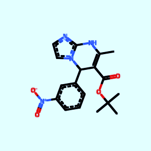 CC1=C(C(=O)OC(C)(C)C)C(c2cccc([N+](=O)[O-])c2)n2ccnc2N1